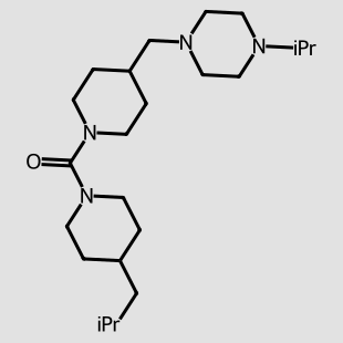 CC(C)CC1CCN(C(=O)N2CCC(CN3CCN(C(C)C)CC3)CC2)CC1